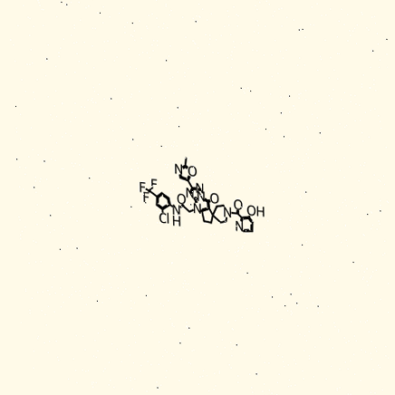 Cc1ncc(-c2nc3n(CC(=O)Nc4ccc(C(F)(F)F)cc4Cl)c4c(c(=O)n3n2)C2(CC4)CCN(C(=O)c3ncccc3O)CC2)o1